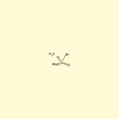 COS(=O)(=O)C(C)C.S